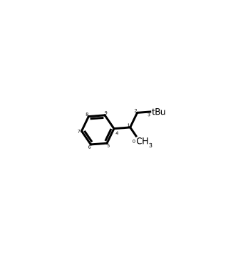 CC(CC(C)(C)C)c1ccccc1